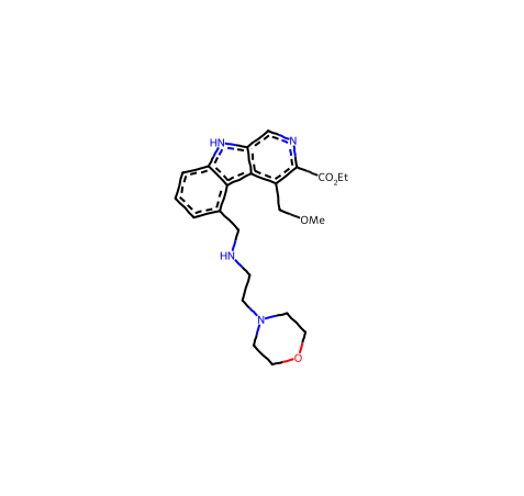 CCOC(=O)c1ncc2[nH]c3cccc(CNCCN4CCOCC4)c3c2c1COC